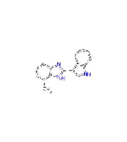 Cc1cccc2nc(-c3c[nH]c4ccccc34)[nH]c12